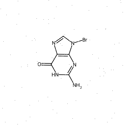 Nc1nc2c(ncn2Br)c(=O)[nH]1